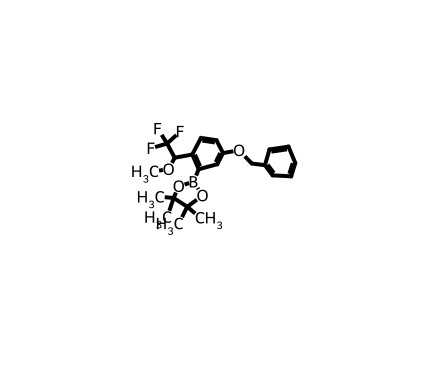 COC(c1ccc(OCc2ccccc2)cc1B1OC(C)(C)C(C)(C)O1)C(F)(F)F